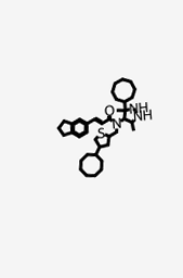 CC1NNC(C)(C2CCCCCCC2)C1N(CC1CC(C2CCCCCCC2)CS1)C(=O)/C=C/c1ccc2c(c1)CCC2